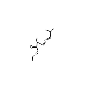 CCOC(=O)C(C)C=C=CC(C)C